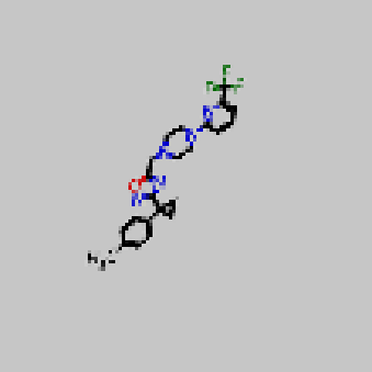 Cc1ccc(C2(c3noc(CN4CCN(c5cccc(C(F)(F)F)n5)CC4)n3)CC2)cc1